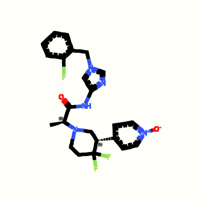 C[C@@H](C(=O)Nc1cn(Cc2ccccc2F)cn1)N1CCC(F)(F)[C@@H](c2cc[n+]([O-])cc2)C1